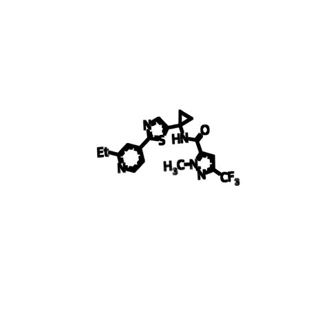 CCc1cc(-c2ncc(C3(NC(=O)c4cc(C(F)(F)F)nn4C)CC3)s2)ccn1